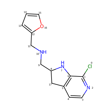 Clc1nccc2c1NC(CNCc1ccco1)C2